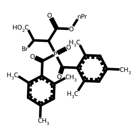 CCCOC(=O)C(C(Br)C(=O)O)P(=O)(C(=O)c1c(C)cc(C)cc1C)C(=O)c1c(C)cc(C)cc1C